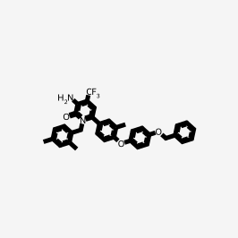 Cc1ccc(Cn2c(-c3ccc(Oc4ccc(OCc5ccccc5)cc4)c(C)c3)cc(C(F)(F)F)c(N)c2=O)c(C)c1